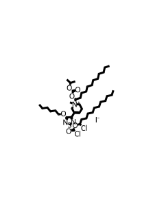 CCCCCCCCCCCC(Cl)OC(=O)Cl.CCCCCCCCCCCC(OC(=O)OC(C)C)[N+]1(C)CCC=C(c2nsnc2OCCCCCC)C1.[I-]